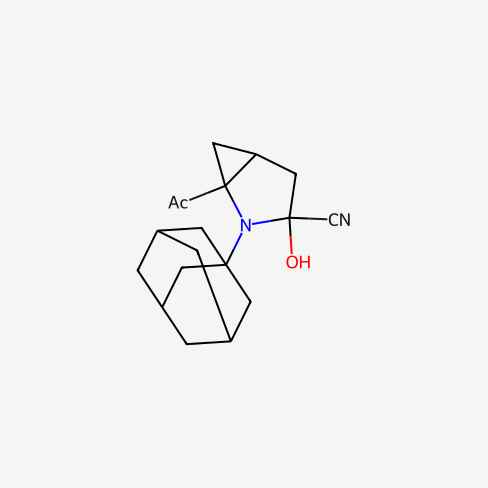 CC(=O)C12CC1CC(O)(C#N)N2C12CC3CC(CC(C3)C1)C2